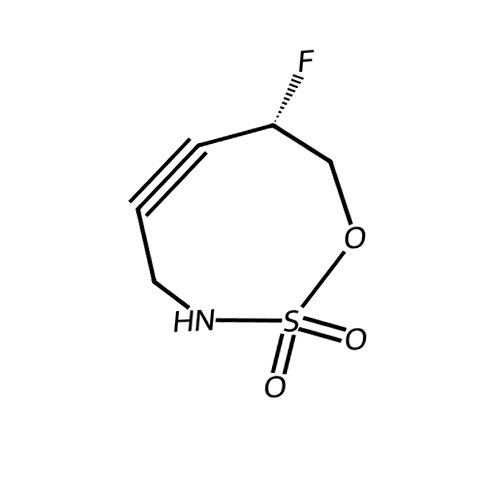 O=S1(=O)NCC#C[C@H](F)CO1